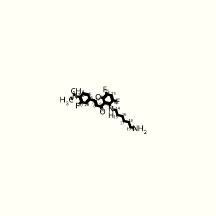 CN(C)c1ccc(-c2cc(=O)c3c(NCCCCCCN)c(F)cc(F)c3o2)cc1F